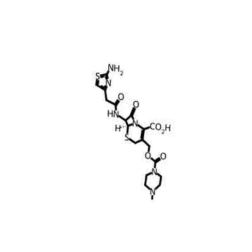 CN1CCN(C(=O)OCC2=C(C(=O)O)N3C(=O)C(NC(=O)Cc4csc(N)n4)[C@@H]3SC2)CC1